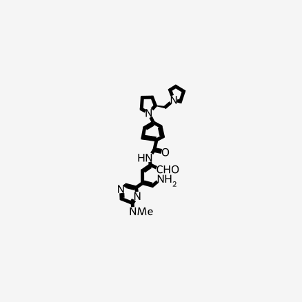 CNc1cncc(C(/C=C(\C=O)NC(=O)c2ccc(N3CCC[C@H]3CN3CCCC3)cc2)=C/N)n1